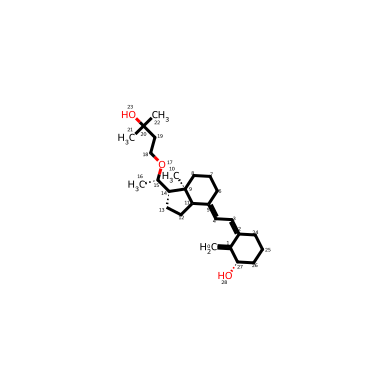 C=C1/C(=C\C=C2/CCC[C@@]3(C)C2CC[C@@H]3[C@H](C)OCCC(C)(C)O)CCC[C@@H]1O